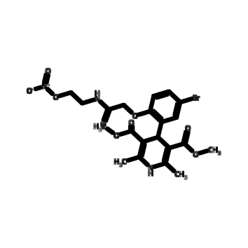 COC(=O)C1=C(C)NC(C)=C(C(=O)OC)C1c1cc(Br)ccc1OCC(=O)NCCO[N+](=O)[O-]